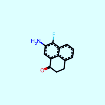 Nc1cc2c3c(cccc3c1F)CCC2=O